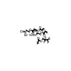 C=CC(=O)OCC(C)C.C=CC(=O)OCC(F)(F)C(F)F.C=CC(=O)OCCCCCCCCCCCC.C=CC(=O)OCCN(CC)CC